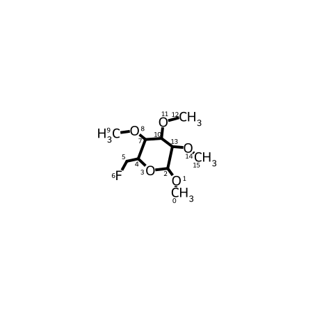 COC1OC(CF)C(OC)C(OC)C1OC